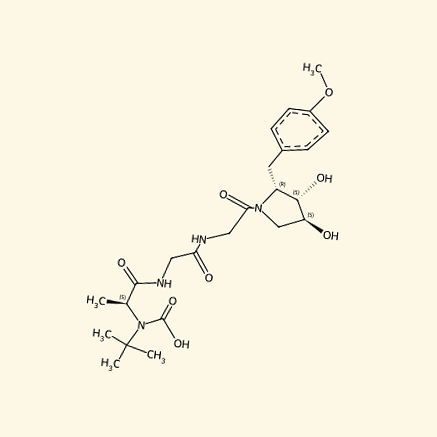 COc1ccc(C[C@@H]2[C@H](O)[C@@H](O)CN2C(=O)CNC(=O)CNC(=O)[C@H](C)N(C(=O)O)C(C)(C)C)cc1